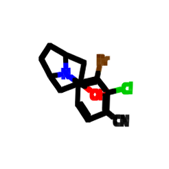 N#Cc1ccc(N2C3CCC2CC(O)C3)c(Br)c1Cl